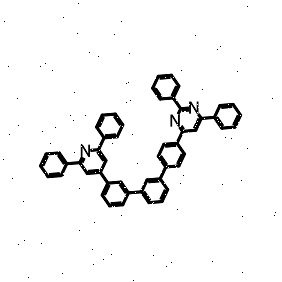 c1ccc(-c2cc(-c3cccc(-c4cccc(-c5ccc(-c6cc(-c7ccccc7)nc(-c7ccccc7)n6)cc5)c4)c3)cc(-c3ccccc3)n2)cc1